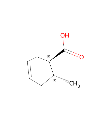 C[C@@H]1CC=CC[C@H]1C(=O)O